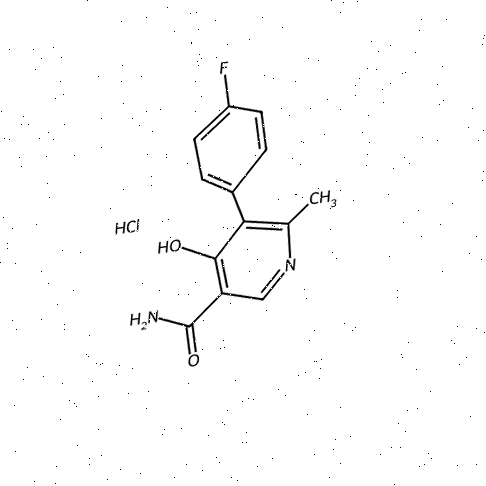 Cc1ncc(C(N)=O)c(O)c1-c1ccc(F)cc1.Cl